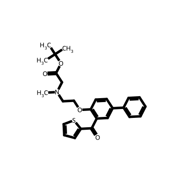 CN(CCOc1ccc(-c2ccccc2)cc1C(=O)c1cccs1)CC(=O)OC(C)(C)C